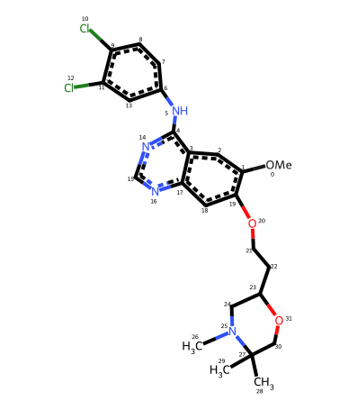 COc1cc2c(Nc3ccc(Cl)c(Cl)c3)ncnc2cc1OCCC1CN(C)C(C)(C)CO1